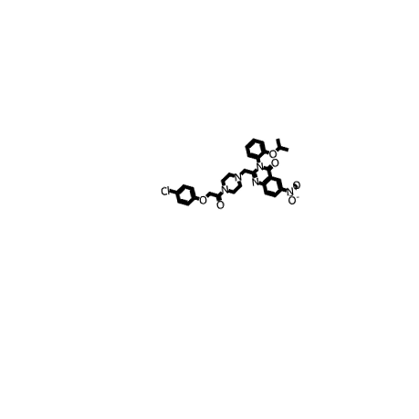 CC(C)Oc1ccccc1-n1c(CN2CCN(C(=O)COc3ccc(Cl)cc3)CC2)nc2ccc([N+](=O)[O-])cc2c1=O